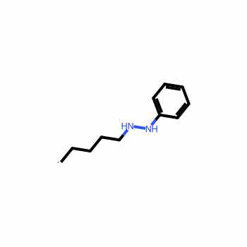 [CH2]CCCCNNc1ccccc1